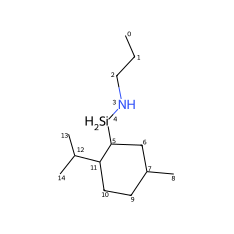 CCCN[SiH2]C1CC(C)CCC1C(C)C